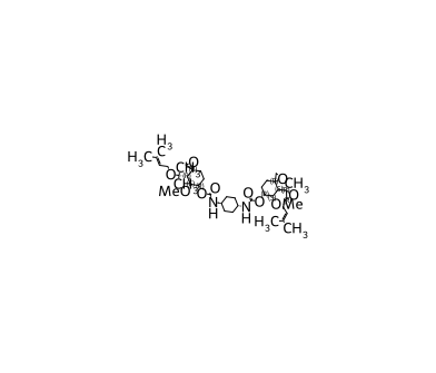 CO[C@@H]1[C@H](OC(=O)N[C@H]2CC[C@H](NC(=O)O[C@@H]3CC[C@]4(CO4)[C@@H](C(C)(C)OCC=C(C)C)[C@@H]3OC)CC2)CC[C@]2(CO2)[C@H]1[C@@]1(C)O[C@@H]1CC=C(C)C